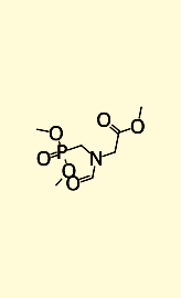 COC(=O)CN(C=O)CP(=O)(OC)OC